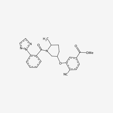 COC(=O)c1ccc(C#N)c(OC2CCC(C)N(C(=O)c3ccccc3-n3nccn3)C2)c1